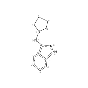 c1ccc2c(NN3CCCC3)n[nH]c2c1